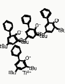 CC(C)(C)c1cc(-c2ccccc2)c([O-])c(C(C)(C)C)c1.CC(C)(C)c1cc(-c2ccccc2)c([O-])c(C(C)(C)C)c1.CC(C)(C)c1cc(-c2ccccc2)c([O-])c(C(C)(C)C)c1.CC(C)(C)c1cc(-c2ccccc2)c([O-])c(C(C)(C)C)c1.[Ti+4]